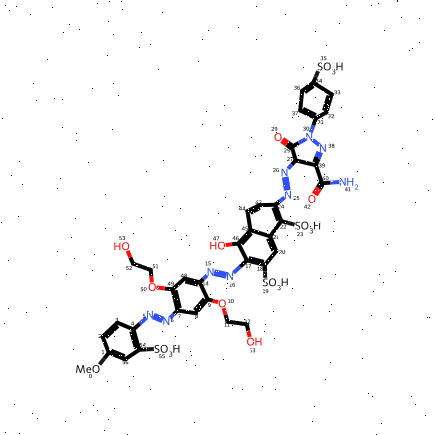 COc1ccc(/N=N/c2cc(OCCO)c(/N=N/c3c(S(=O)(=O)O)cc4c(S(=O)(=O)O)c(/N=N/C5C(=O)N(c6ccc(S(=O)(=O)O)cc6)N=C5C(N)=O)ccc4c3O)cc2OCCO)c(S(=O)(=O)O)c1